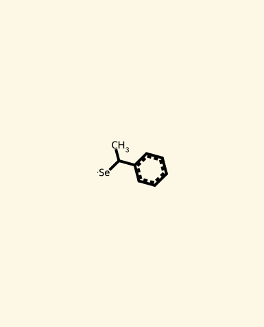 CC([Se])c1ccccc1